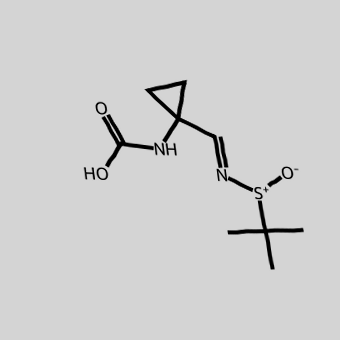 CC(C)(C)[S+]([O-])/N=C/C1(NC(=O)O)CC1